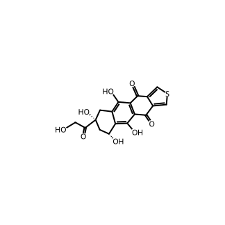 O=C1c2cscc2C(=O)c2c(O)c3c(c(O)c21)C[C@](O)(C(=O)CO)C[C@H]3O